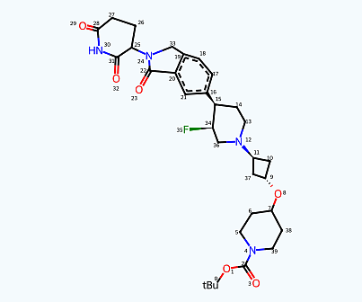 CC(C)(C)OC(=O)N1CCC(O[C@H]2C[C@H](N3CC[C@H](c4ccc5c(c4)C(=O)N(C4CCC(=O)NC4=O)C5)[C@H](F)C3)C2)CC1